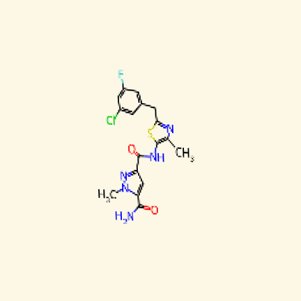 Cc1nc(Cc2cc(F)cc(Cl)c2)sc1NC(=O)c1cc(C(N)=O)n(C)n1